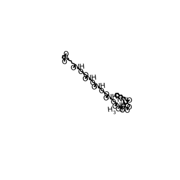 CC[C@@]1(OC(=O)C(C)NC(=O)COCCNC(=O)OCCOCCNC(=O)COCCNC(=O)OCCOCCNC(=O)CCCCCN2C(=O)C=CC2=O)C(=O)OCc2c1cc1n(c2=O)Cc2cc3ccccc3nc2-1